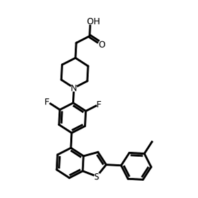 Cc1cccc(-c2cc3c(-c4cc(F)c(N5CCC(CC(=O)O)CC5)c(F)c4)cccc3s2)c1